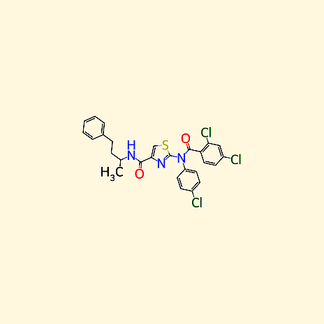 CC(CCc1ccccc1)NC(=O)c1csc(N(C(=O)c2ccc(Cl)cc2Cl)c2ccc(Cl)cc2)n1